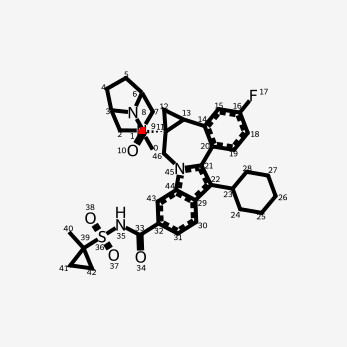 CN1CC2CCC(C1)N2C(=O)[C@]12CC1c1cc(F)ccc1-c1c(C3CCCCC3)c3ccc(C(=O)NS(=O)(=O)C4(C)CC4)cc3n1C2